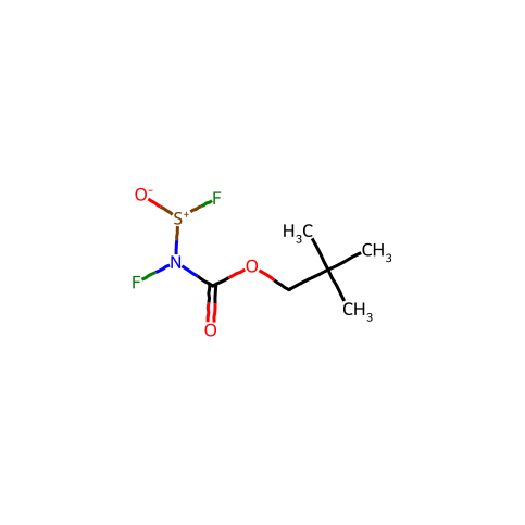 CC(C)(C)COC(=O)N(F)[S+]([O-])F